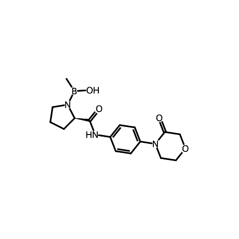 CB(O)N1CCC[C@@H]1C(=O)Nc1ccc(N2CCOCC2=O)cc1